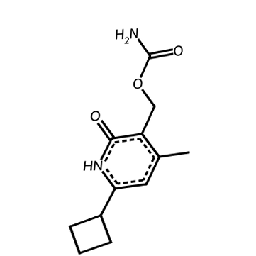 Cc1cc(C2CCC2)[nH]c(=O)c1COC(N)=O